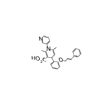 CC1=CC(c2ccccc2OCC=Cc2ccccc2)C(C(=O)O)=C(C)N1c1cccnc1